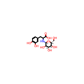 O=C(O)C(Cc1ccc(O)c(O)c1)N[C@H]1O[C@H](CO)[C@@H](O)[C@H](O)[C@H]1O